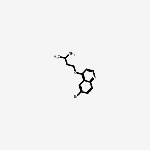 CC(N)CCOc1ccnc2ccc(Br)cc12